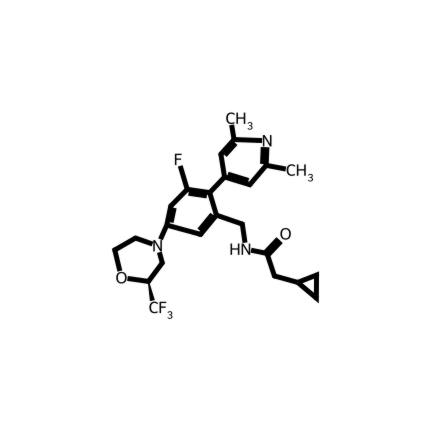 Cc1cc(-c2c(F)cc(N3CCO[C@H](C(F)(F)F)C3)cc2CNC(=O)CC2CC2)cc(C)n1